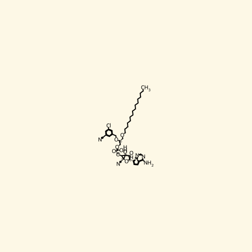 CCCCCCCCCCCCCCCCOC[C@@H](COP(=O)(O)OC1[C@@]2(C#N)O[C@@H](c3ccc4c(N)ncnn34)[C@H](O)[C@@]12O)OCc1cc(Cl)cc(C#N)c1